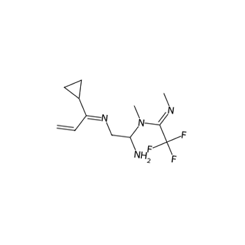 C=C/C(=N\CC(N)N(C)/C(=N\C)C(F)(F)F)C1CC1